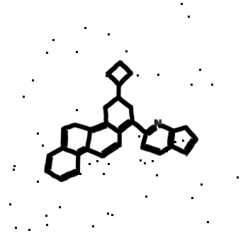 [C]1=CCc2nc(C3=c4ccc5c(c4CC(C4CCC4)C3)CC=c3ccccc3=5)ccc21